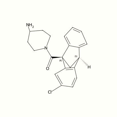 NC1CCN(C(=O)[C@]23C[C@@H](c4ccccc42)c2ccc(Cl)cc23)CC1